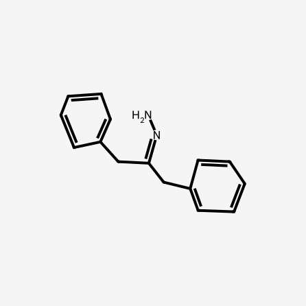 NN=C(Cc1ccccc1)Cc1ccccc1